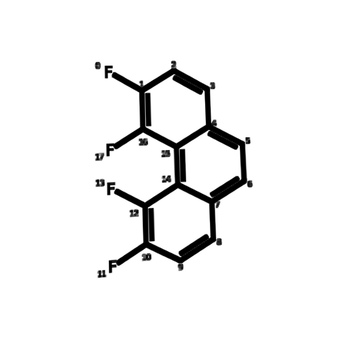 Fc1ccc2ccc3ccc(F)c(F)c3c2c1F